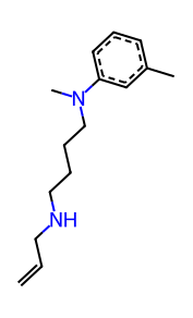 C=CCNCCCCN(C)c1cccc(C)c1